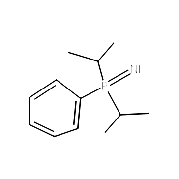 CC(C)P(=N)(c1ccccc1)C(C)C